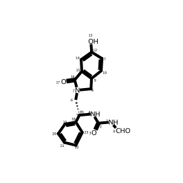 O=CNC(=O)N[C@@H](CN1Cc2ccc(O)cc2C1=O)c1ccccc1